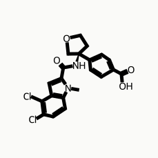 Cn1c(C(=O)N[C@]2(c3ccc(C(=O)O)cc3)CCOC2)cc2c(Cl)c(Cl)ccc21